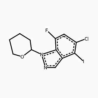 Fc1cc(Cl)c(I)c2cnn(C3CCCCO3)c12